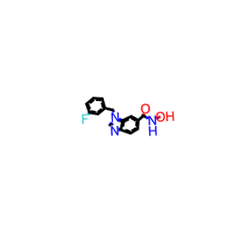 O=C(NO)c1ccc2ncn(Cc3cccc(F)c3)c2c1